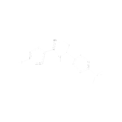 [CH3][SnH]([CH3])[c]1ccc(C(CC(=O)O)NC(=O)c2ccc(Cl)cc2)cc1